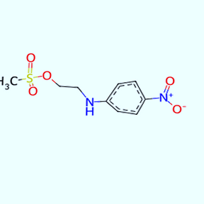 CS(=O)(=O)OCCNc1ccc([N+](=O)[O-])cc1